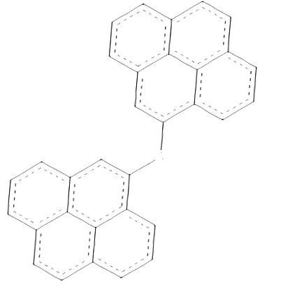 c1cc2ccc3cccc4c(Sc5cc6cccc7ccc8cccc5c8c76)cc(c1)c2c34